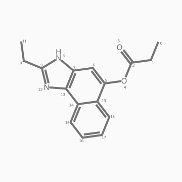 CCC(=O)Oc1cc2[nH]c(CC)nc2c2ccccc12